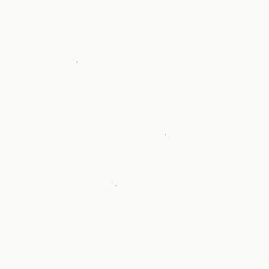 Cc1ccc2c(OCCN3CCC(=Cc4cc(CS(N)(=O)=O)ccc4C)CC3)cccc2n1